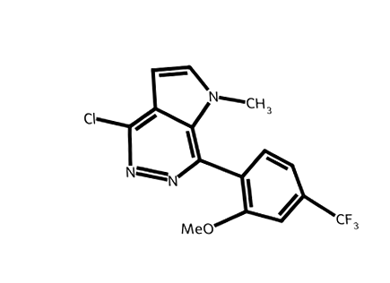 COc1cc(C(F)(F)F)ccc1-c1nnc(Cl)c2ccn(C)c12